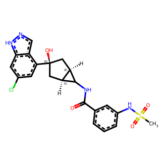 CS(=O)(=O)Nc1cccc(C(=O)NC2[C@H]3C[C@](O)(c4cc(Cl)cc5[nH]ncc45)C[C@@H]23)c1